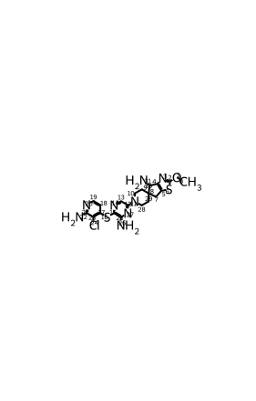 COc1nc2c(s1)CC1(CCN(c3cnc(Sc4ccnc(N)c4Cl)c(N)n3)CC1)C2N